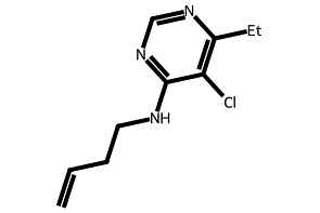 C=CCCNc1ncnc(CC)c1Cl